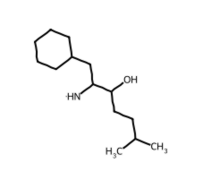 CC(C)CCC(O)C([NH])CC1CCCCC1